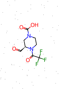 O=C[C@H]1CN(C(=O)O)CCN1C(=O)C(F)(F)F